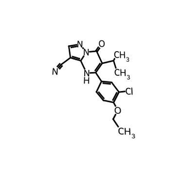 CCOc1ccc(-c2[nH]c3c(C#N)cnn3c(=O)c2C(C)C)cc1Cl